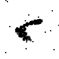 CNC(=O)OC1CCCC1C(C#N)(c1ccccc1)C1CCN(CC2CN(c3ccc(S(=O)(=O)c4ccncc4)cc3)C2)CC1